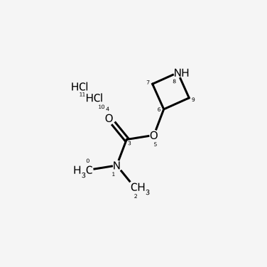 CN(C)C(=O)OC1CNC1.Cl.Cl